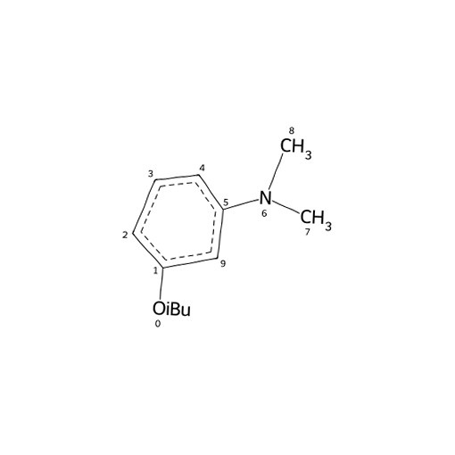 CC(C)COc1cccc(N(C)C)c1